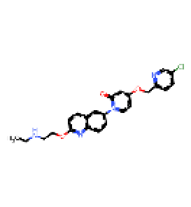 CCNCCOc1ccc2cc(-n3ccc(OCc4ccc(Cl)cn4)cc3=O)ccc2n1